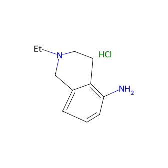 CCN1CCc2c(N)cccc2C1.Cl